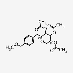 COCc1ccc(C[C@@H]2OC[C@@H](OC(C)=O)C(OC(C)=O)C2OC(C)=O)cc1